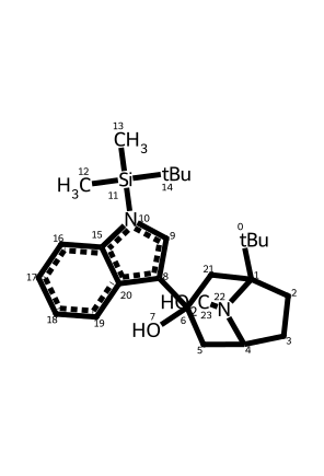 CC(C)(C)C12CCC(CC(O)(c3cn([Si](C)(C)C(C)(C)C)c4ccccc34)C1)N2C(=O)O